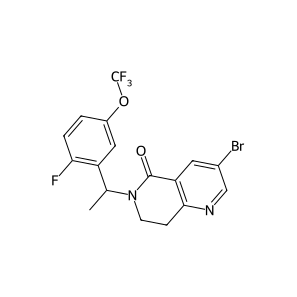 CC(c1cc(OC(F)(F)F)ccc1F)N1CCc2ncc(Br)cc2C1=O